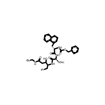 CCCCCCCCCC[C@H](NC(=O)[C@H](Cc1cccc2ccccc12)NC(=O)OCc1ccccc1)C(=O)NC(CC(C)C)C(O)CC(=O)NCC(C)CC